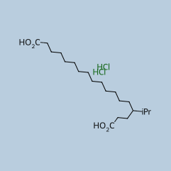 CC(C)C(CCCCCCCCCCCCCC(=O)O)CCC(=O)O.Cl.Cl